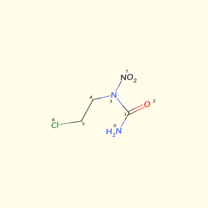 NC(=O)N(CCCl)[N+](=O)[O-]